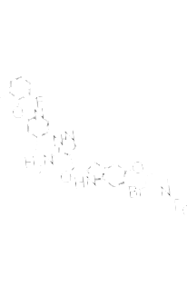 Cc1cc(Oc2c(F)cccc2F)ncc1-n1ncc(C(=O)c2cc3cc(OC4CCN(C5COC5)CC4)c(Br)cc3[nH]2)c1N